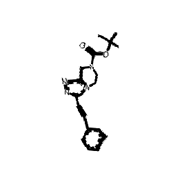 CC(C)(C)OC(=O)N1CCn2c(C#Cc3ccccc3)nnc2C1